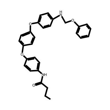 CCCC(=O)Nc1ccc(Oc2ccc(Oc3ccc(NCOc4ccccc4)cc3)cc2)cc1